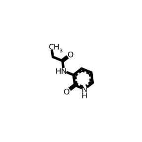 CCC(=O)Nc1ccc[nH]c1=O